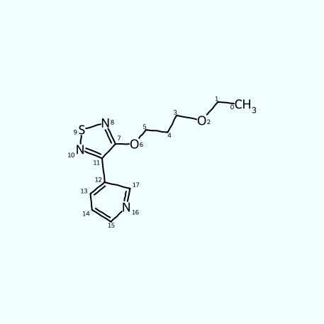 CCOCCCOc1nsnc1-c1cccnc1